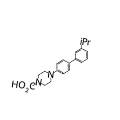 CC(C)c1cccc(-c2ccc(N3CCN(C(=O)O)CC3)cc2)c1